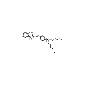 CCCCCCN(CCCCCC)c1ccc(/C=C/c2ccc3ccccc3[n+]2C)cc1